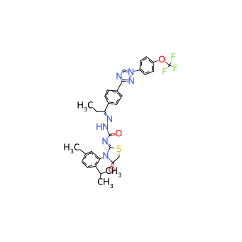 CC/C(=N\NC(=O)/N=C1\SCC(=O)N1c1cc(C)ccc1C(C)C)c1ccc(-c2ncn(-c3ccc(OC(F)(F)F)cc3)n2)cc1